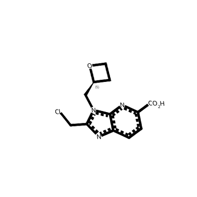 O=C(O)c1ccc2nc(CCl)n(C[C@@H]3CCO3)c2n1